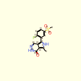 Cc1[nH]c(-c2cc(S(C)(=O)=O)ccc2F)c2cn[nH]c(=O)c12